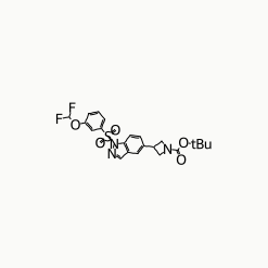 CC(C)(C)OC(=O)N1CC(c2ccc3c(cnn3S(=O)(=O)c3cccc(OC(F)F)c3)c2)C1